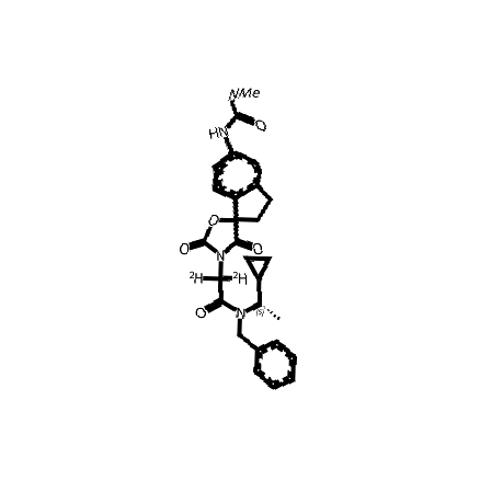 [2H]C([2H])(C(=O)N(Cc1ccccc1)[C@@H](C)C1CC1)N1C(=O)OC2(CCc3cc(NC(=O)NC)ccc32)C1=O